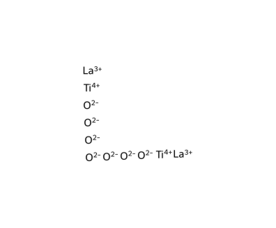 [La+3].[La+3].[O-2].[O-2].[O-2].[O-2].[O-2].[O-2].[O-2].[Ti+4].[Ti+4]